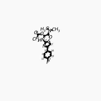 CN(C)C(=O)C(Nc1nc(-c2ccc(F)cc2)cs1)OC(=O)C(F)(F)F